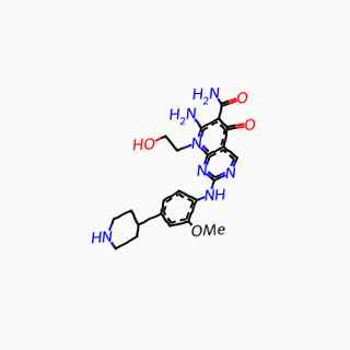 COc1cc(C2CCNCC2)ccc1Nc1ncc2c(=O)c(C(N)=O)c(N)n(CCO)c2n1